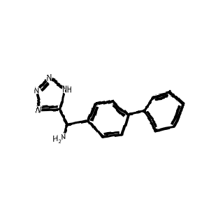 NC(c1ccc(-c2ccccc2)cc1)c1nnn[nH]1